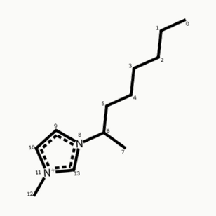 CCCCCCC(C)n1cc[n+](C)c1